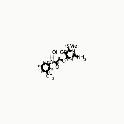 CSc1nc(N)nc(OCC(=O)Nc2cccc(C(F)(F)F)c2)c1C=O